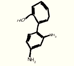 Nc1ccc(-c2ccccc2O)c(N)c1